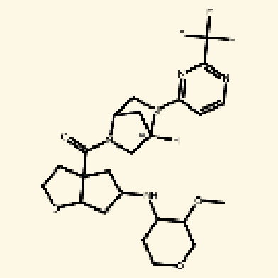 COC1COCCC1NC1CC2OCCC2(C(=O)N2C[C@@H]3CC2CN3c2ccnc(C(F)(F)F)n2)C1